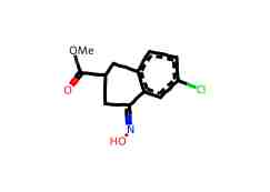 COC(=O)C1CC(=NO)c2cc(Cl)ccc2C1